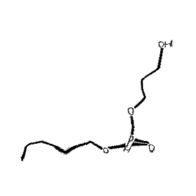 CCCCO[PH](=O)OCCCO